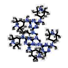 CNCN(CN(CNc1nc(C)nc(N(C)C2CC(C)(C)N(C)C(C)(C)C2)n1)c1nc(N(C)C2CC(C)(C)N(C)C(C)(C)C2)nc(N(C)C2CC(C)(C)N(C)C(C)(C)C2)n1)c1nc(N(C)C2CC(C)(C)N(C)C(C)(C)C2)nc(N(C)C2CC(C)(C)N(C)C(C)(C)C2)n1